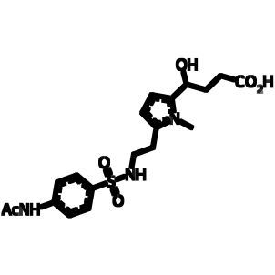 CC(=O)Nc1ccc(S(=O)(=O)NCCc2ccc(C(O)CCC(=O)O)n2C)cc1